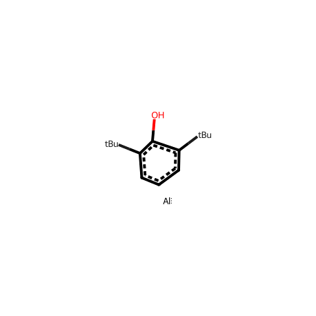 CC(C)(C)c1cccc(C(C)(C)C)c1O.[Al]